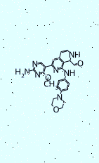 COc1nc(N)ncc1-c1cc2c(c(Nc3ccc(N4CCOCC4)cc3)n1)C(C=O)NC=C2